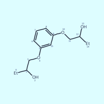 CCC(O)COc1cccc(OCC(O)CC)c1